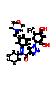 CC(C)c1cc(-n2nnc(C(=O)NC3CCCCC3)c2-c2ccc(CN3CCOCC3)cc2)c(O)cc1O